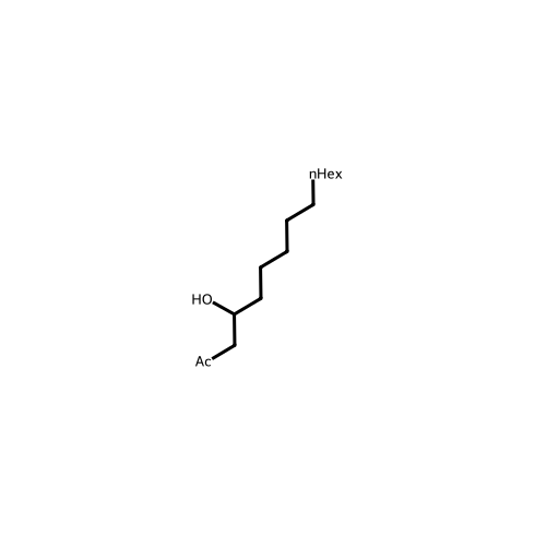 CCCCCCCCCCCC(O)CC(C)=O